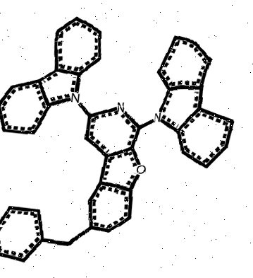 c1ccc(Cc2ccc3oc4c(-n5c6ccccc6c6ccccc65)nc(-n5c6ccccc6c6ccccc65)cc4c3c2)cc1